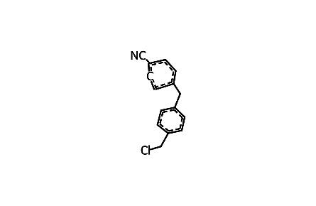 N#Cc1ccc(Cc2ccc(CCl)cc2)cc1